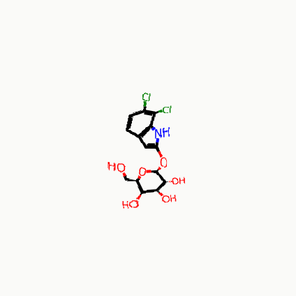 OC[C@H]1O[C@@H](Oc2cc3ccc(Cl)c(Cl)c3[nH]2)[C@H](O)[C@@H](O)[C@H]1O